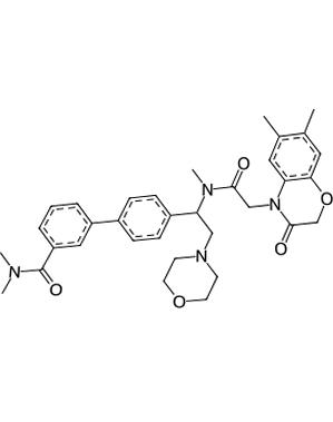 Cc1cc2c(cc1C)N(CC(=O)N(C)C(CN1CCOCC1)c1ccc(-c3cccc(C(=O)N(C)C)c3)cc1)C(=O)CO2